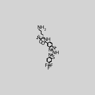 CN(C)C(=O)[C@H](CCCCN)NC(=O)c1ccc2c(c1)nc(Nc1nc3ccc(C(F)(F)F)cc3s1)n2C